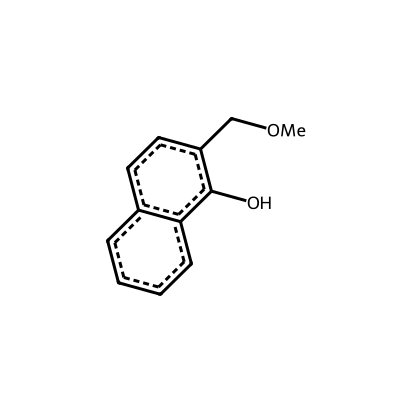 COCc1ccc2ccccc2c1O